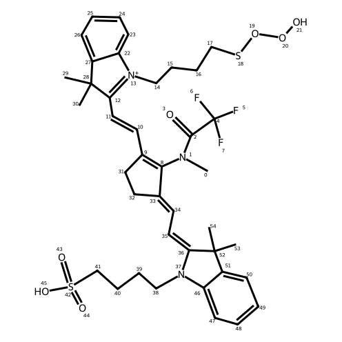 CN(C(=O)C(F)(F)F)C1=C(/C=C/C2=[N+](CCCCSOOO)c3ccccc3C2(C)C)CC/C1=C\C=C1\N(CCCCS(=O)(=O)O)c2ccccc2C1(C)C